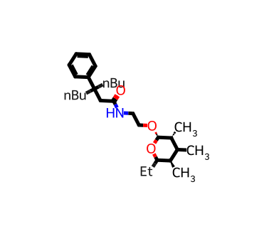 CCCCC(CCCC)(CC(=O)NCCO[C@H]1OC(CC)[C@H](C)C(C)[C@H]1C)c1ccccc1